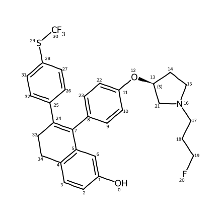 Oc1ccc2c(c1)C(c1ccc(O[C@H]3CCN(CCCF)C3)cc1)=C(c1ccc(SC(F)(F)F)cc1)CC2